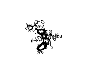 CC(C)c1ccc([C@](O)(c2cccc(C(=O)NC(C=O)C3CCOCC3)c2)C2(C)CN(C(=O)OC(C)(C)C)C2)cc1